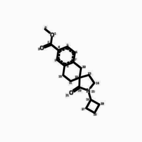 COC(=O)c1ccc2c(c1)CCC1(CCN(C3CCC3)C1=O)C2